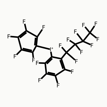 Fc1c(F)c(F)c([I+]c2c(F)c(F)c(F)c(F)c2C(F)(F)C(F)(F)C(F)(F)C(F)(F)F)c(F)c1F